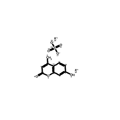 Cc1cc(=O)oc2cc(O)ccc12.O=S(=O)([O-])[O-].[K+].[K+]